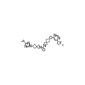 O=C(N1CC2(CC(Oc3cc(C(F)(F)F)ncn3)C2)C1)N1CC2(CC(n3cnc(C4CC4)n3)C2)C1